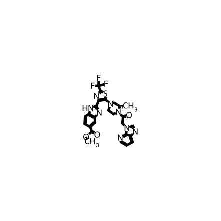 COC(=O)c1ccc2[nH]c(-c3nc(C(F)(F)F)sc3N3CCN(C(=O)Cn4cnc5cccnc54)[C@H](C)C3)nc2c1